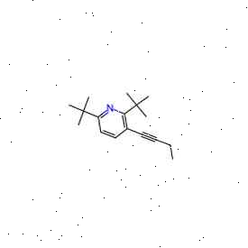 CCC#Cc1ccc(C(C)(C)C)nc1C(C)(C)C